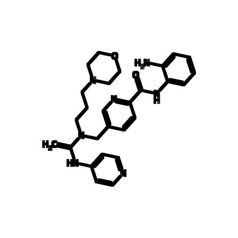 C=C(Nc1ccncc1)N(CCCN1CCOCC1)Cc1ccc(C(=O)Nc2ccccc2N)nc1